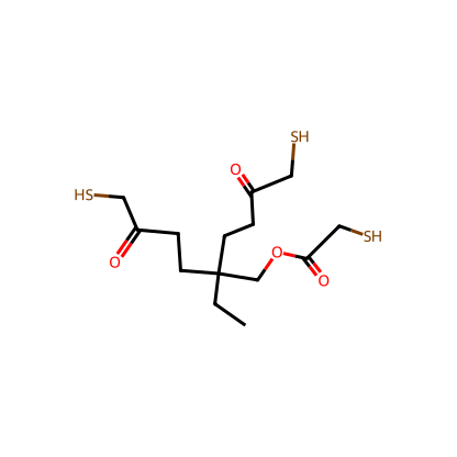 CCC(CCC(=O)CS)(CCC(=O)CS)COC(=O)CS